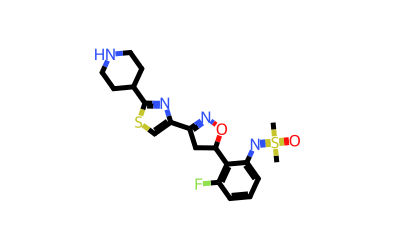 CS(C)(=O)=Nc1cccc(F)c1C1CC(c2csc(C3CCNCC3)n2)=NO1